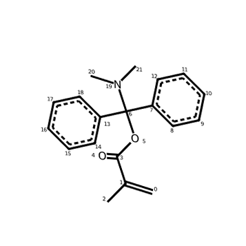 C=C(C)C(=O)OC(c1ccccc1)(c1ccccc1)N(C)C